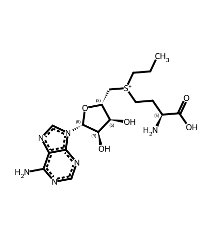 CCC[S+](CC[C@H](N)C(=O)O)C[C@H]1O[C@@H](n2cnc3c(N)ncnc32)[C@H](O)[C@@H]1O